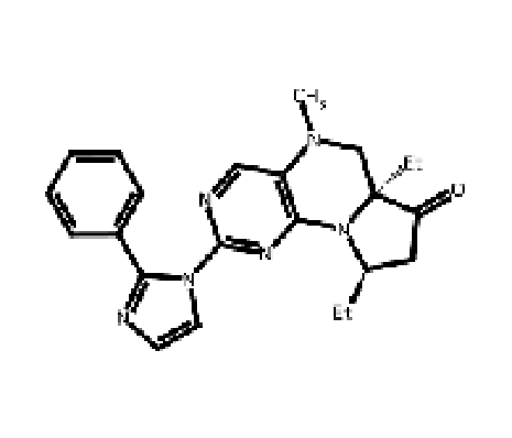 CC[C@@H]1CC(=O)[C@]2(CC)CN(C)c3cnc(-n4ccnc4-c4ccccc4)nc3N12